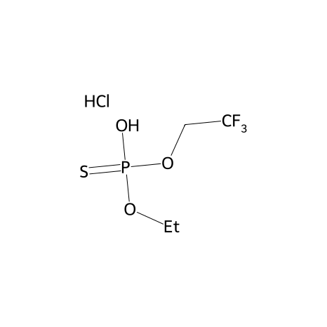 CCOP(O)(=S)OCC(F)(F)F.Cl